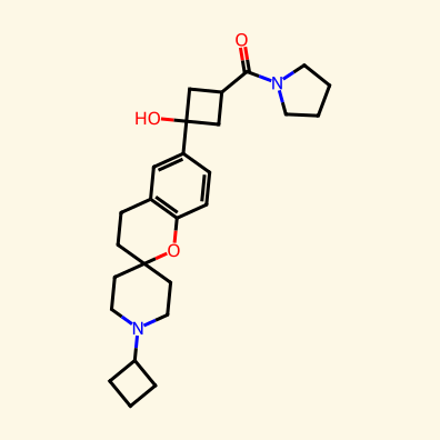 O=C(C1CC(O)(c2ccc3c(c2)CCC2(CCN(C4CCC4)CC2)O3)C1)N1CCCC1